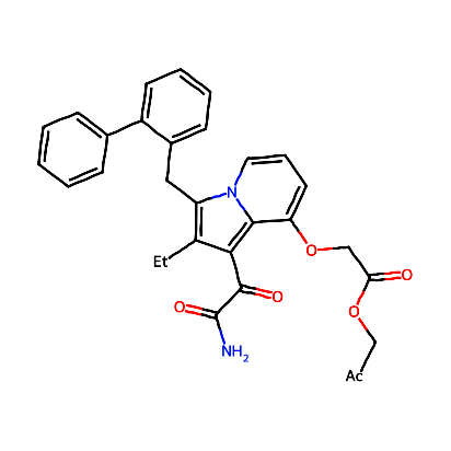 CCc1c(C(=O)C(N)=O)c2c(OCC(=O)OCC(C)=O)cccn2c1Cc1ccccc1-c1ccccc1